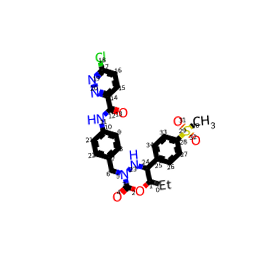 CCC1OC(=O)N(Cc2ccc(NC(=O)c3ccc(Cl)nn3)cc2)NC1c1ccc(S(C)(=O)=O)cc1